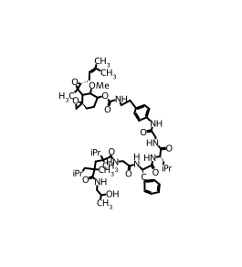 COC1C(OC(=O)NCCc2ccc(NC(=O)CNC(=O)[C@H](CC(C)C)NC(=O)[C@H](Cc3ccccc3)NC(=O)CNC(=O)C(C)(CC(C)(CC(C)C)C(=O)NCC(C)O)C(C)C)cc2)CC[C@]2(CO2)C1C1(C)O[C@@H]1CC=C(C)C